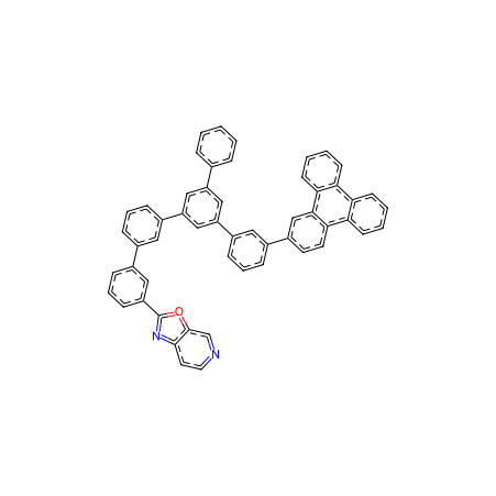 c1ccc(-c2cc(-c3cccc(-c4cccc(-c5nc6ccncc6o5)c4)c3)cc(-c3cccc(-c4ccc5c6ccccc6c6ccccc6c5c4)c3)c2)cc1